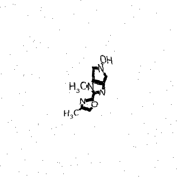 Cc1coc(-c2nc3c(n2C)CN(O)C3)n1